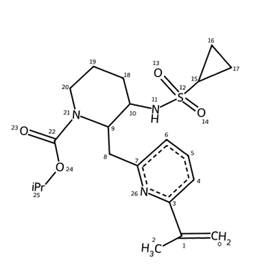 C=C(C)c1cccc(CC2C(NS(=O)(=O)C3CC3)CCCN2C(=O)OC(C)C)n1